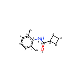 Cc1cccc(C)c1NC(=O)C1CCC1